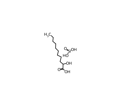 CCCCCCCCCC(O)C(=O)O.O=[Si](O)O